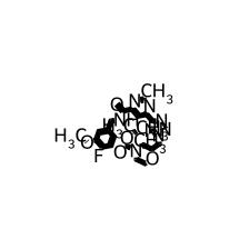 COc1cc(CNC(=O)c2cc(-c3nnn(CC4CN(C(=O)OC(C)(C)C)CCO4)n3)nc(C)n2)ccc1F